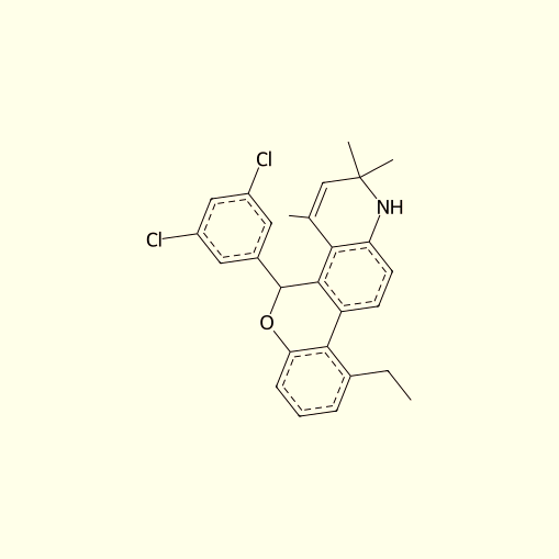 CCc1cccc2c1-c1ccc3c(c1C(c1cc(Cl)cc(Cl)c1)O2)C(C)=CC(C)(C)N3